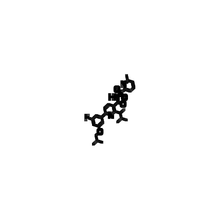 Cc1cccc(S(=O)(=O)NC(=O)c2ccc(-c3cc(F)cc(OCC(C)C)c3)nc2C(C)C(C)C)n1